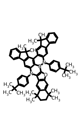 CC(C)(C)c1ccc(N2B3c4oc5cc6c(cc5c4N(c4ccc(C(C)(C)C)cc4)c4cc5c(c(c43)-c3cc4c(cc32)-c2ccccc2C4(C)C)C(C)(C)c2ccccc2-5)C(C)(C)CCC6(C)C)cc1